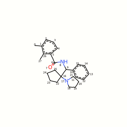 Cc1cccc(C(=O)NC(c2ccccc2)C2(N3CCCC3)CCCC2)c1C